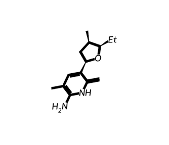 C=C1NC(N)=C(C)C=C1[C@H]1C[C@@H](C)[C@@H](CC)O1